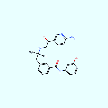 CC(C)(Cc1cccc(C(=O)Nc2cccc(O)c2)c1)NC[C@@H](O)c1ccc(N)nc1